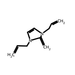 C=CCN1C=CN(CC=C)C1=C